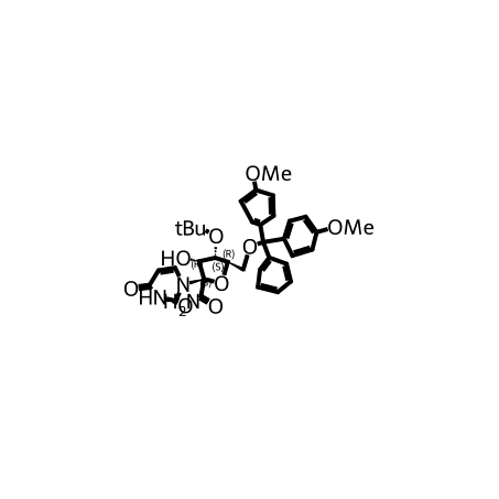 COc1ccc(C(OC[C@H]2O[C@@](C(N)=O)(n3ccc(=O)[nH]c3=O)[C@H](O)[C@@H]2OC(C)(C)C)(c2ccccc2)c2ccc(OC)cc2)cc1